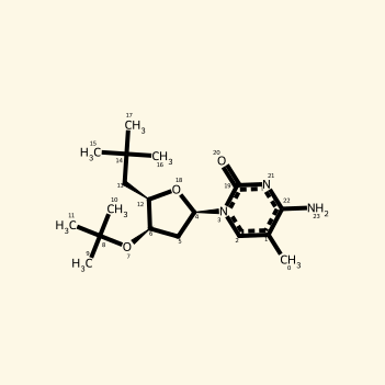 Cc1cn([C@H]2C[C@@H](OC(C)(C)C)[C@@H](CC(C)(C)C)O2)c(=O)nc1N